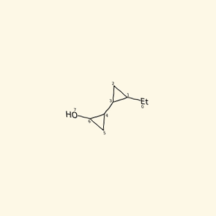 CCC1CC1C1CC1O